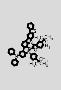 CC(C)(C)c1ccc(N2B3c4oc5ccc(C(C)(C)C)cc5c4-n4c5cc6sc7ccccc7c6cc5c5ccc(c3c54)-c3cc(N(c4ccccc4)c4ccccc4)ccc32)cc1